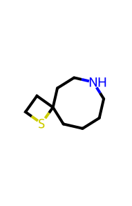 C1CCC2(CCNC1)CCS2